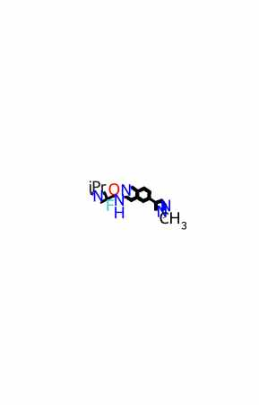 CC(C)CN1CC(F)(C(=O)Nc2cc3cc(-c4cnn(C)c4)ccc3cn2)C1